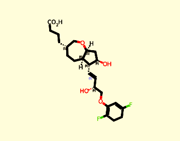 O=C(O)CCC[C@H]1CC[C@@H]2[C@@H](/C=C/[C@@H](O)COC3=C(F)CCC(F)=C3)[C@H](O)C[C@@H]2OC1